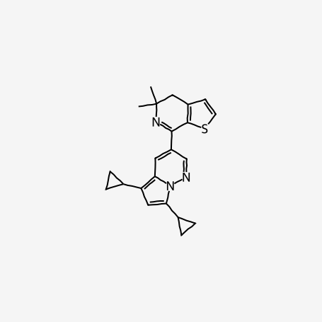 CC1(C)Cc2ccsc2C(c2cnn3c(C4CC4)cc(C4CC4)c3c2)=N1